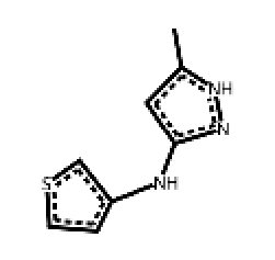 Cc1cc(Nc2ccsc2)n[nH]1